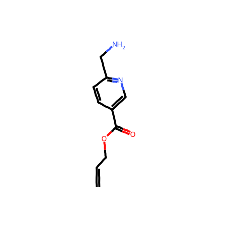 C=CCOC(=O)c1ccc(CN)nc1